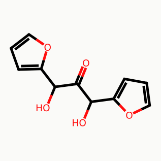 O=C(C(O)c1ccco1)C(O)c1ccco1